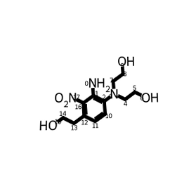 Nc1c(N(CCO)CCO)ccc(CCO)c1[N+](=O)[O-]